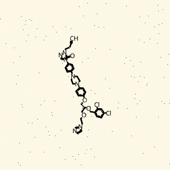 C#CCCn1ncn(-c2ccc(N3CCN(c4ccc(OC[C@H](COCCn5ccnc5)OCc5ccc(Cl)cc5Cl)cc4)CC3)cc2)c1=O